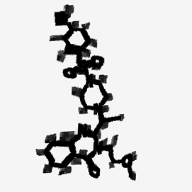 COCCn1c(C(C)N2CCN(S(=O)(=O)c3ccc(Br)cc3)CC2)nc2ccccc2c1=O